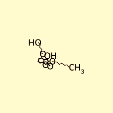 CCCCCCCCOc1c(O)c2c(OCCCCO)cccc2oc1=O